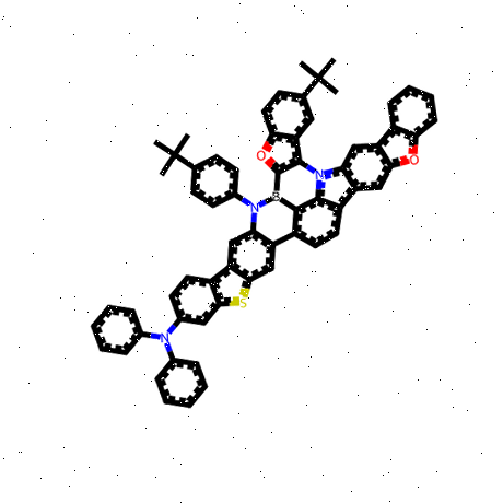 CC(C)(C)c1ccc(N2B3c4oc5ccc(C(C)(C)C)cc5c4-n4c5cc6c(cc5c5ccc(c3c54)-c3cc4sc5cc(N(c7ccccc7)c7ccccc7)ccc5c4cc32)oc2ccccc26)cc1